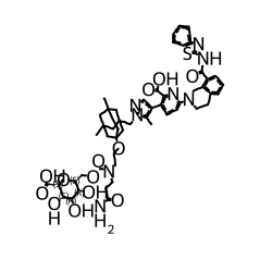 Cc1c(-c2ccc(N3CCc4cccc(C(=O)Nc5nc6ccccc6s5)c4C3)nc2C(=O)O)cnn1CC12CC3(C)CC(C)(C1)CC(OCCN(CCC(N)=O)C(=O)OC[C@@H]1O[C@H](C(=O)O)[C@@H](O)[C@H](O)[C@H]1O)(C3)C2